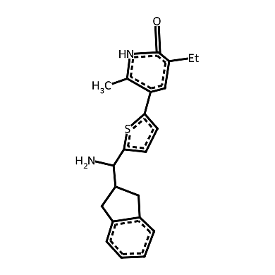 CCc1cc(-c2ccc(C(N)C3Cc4ccccc4C3)s2)c(C)[nH]c1=O